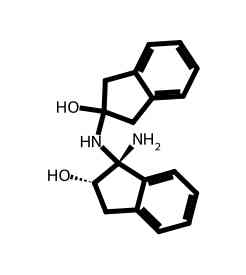 N[C@@]1(NC2(O)Cc3ccccc3C2)c2ccccc2C[C@@H]1O